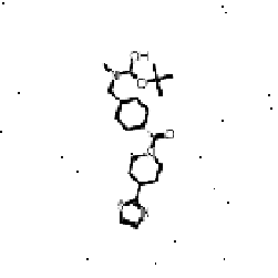 CN(C[C@H]1CC[C@H](C(=O)N2CCC(c3nccs3)CC2)CC1)C(O)OC(C)(C)C